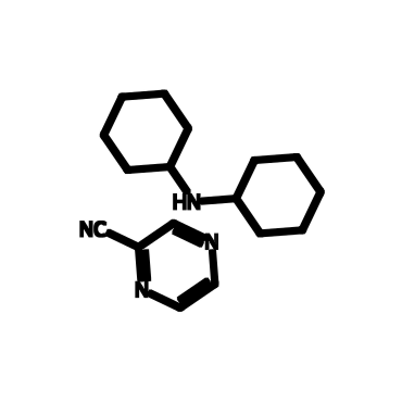 C1CCC(NC2CCCCC2)CC1.N#Cc1cnccn1